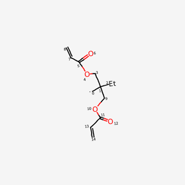 [CH2]C(CC)(COC(=O)C=C)COC(=O)C=C